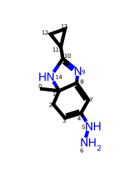 CC12CC=C(NN)C=C1N=C(C1CC1)N2